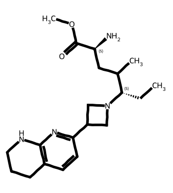 CC[C@@H](C(C)C[C@H](N)C(=O)OC)N1CC(c2ccc3c(n2)NCCC3)C1